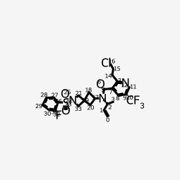 C=CC(C)N(C(=O)c1cc(C(F)(F)F)cnc1CCCl)C1CC2(C1)CN(S(=O)(=O)c1ccccc1F)C2